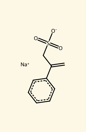 C=C(CS(=O)(=O)[O-])c1ccccc1.[Na+]